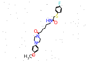 COc1ccc(N2CCN(C(=O)CCCCCNC(=O)CSc3ccc(F)cc3)CC2)cc1